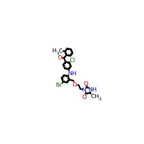 Cc1ccccc1C(=O)c1ccc(Nc2ccc(Br)cc2COCCN2C(=O)NC(C)C2=O)cc1Cl